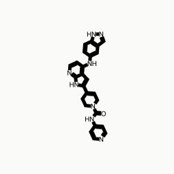 O=C(Nc1ccncc1)N1CC=C(c2cc3c(Nc4ccc5[nH]ncc5c4)ccnc3[nH]2)CC1